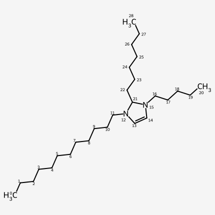 CCCCCCCCCCCCN1C=CN(CCCCC)C1CCCCCCC